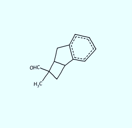 CC1(C=O)CC2c3ccccc3CC21